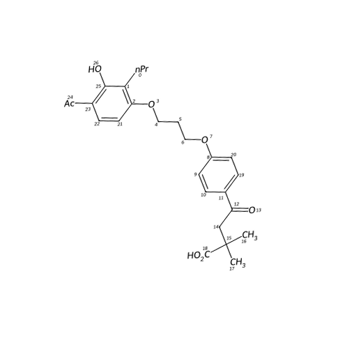 CCCc1c(OCCCOc2ccc(C(=O)CC(C)(C)C(=O)O)cc2)ccc(C(C)=O)c1O